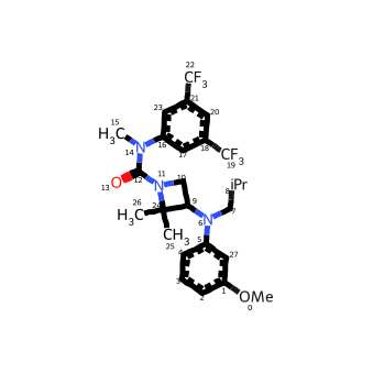 COc1cccc(N(CC(C)C)C2CN(C(=O)N(C)c3cc(C(F)(F)F)cc(C(F)(F)F)c3)C2(C)C)c1